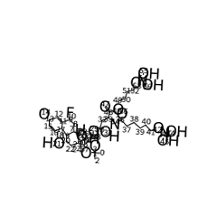 CC1(C)O[C@@H]2CC3[C@@H]4CC(F)C5=CC(=O)C=C[C@]5(C)C4[C@@H](O)C[C@]3(C)[C@]2(C(=O)COC(=O)CC(NC(=O)CCCCCON(O)O)C(=O)OCCCCON(O)O)O1